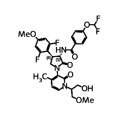 COCC(CO)n1ccc(C)c(N2C[C@@H](c3c(F)cc(OC)cc3F)[C@H](NC(=O)c3ccc(OC(F)F)cc3)C2=O)c1=O